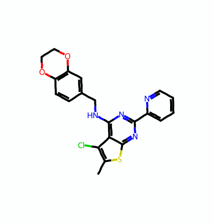 Cc1sc2nc(-c3ccccn3)nc(NCc3ccc4c(c3)OCCO4)c2c1Cl